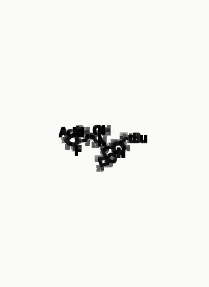 CC(=O)N[C@@H](Cc1c(F)cccc1F)[C@H](O)CN[C@H]1CC2(CCC2)Oc2ncc(CC(C)(C)C)cc21